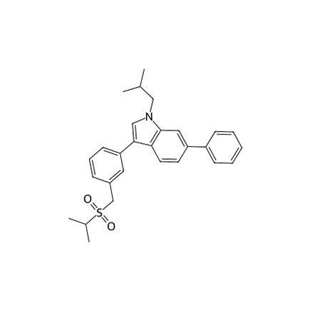 CC(C)Cn1cc(-c2cccc(CS(=O)(=O)C(C)C)c2)c2ccc(-c3ccccc3)cc21